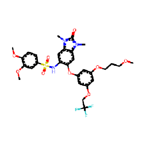 COCCCOc1cc(OCC(F)(F)F)cc(Oc2cc3c(cc2NS(=O)(=O)c2ccc(OC)c(OC)c2)n(C)c(=O)n3C)c1